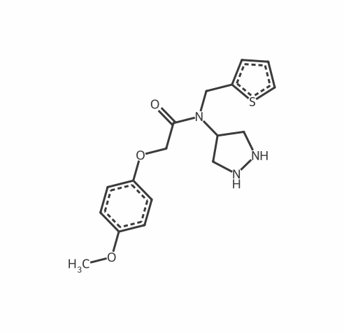 COc1ccc(OCC(=O)N(Cc2cccs2)C2CNNC2)cc1